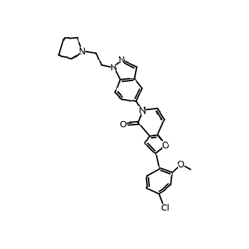 COc1cc(Cl)ccc1-c1cc2c(=O)n(-c3ccc4c(cnn4CCN4CCCC4)c3)ccc2o1